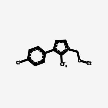 CCOCn1ccc(-c2ccc(Cl)cc2)c1C(F)(F)F